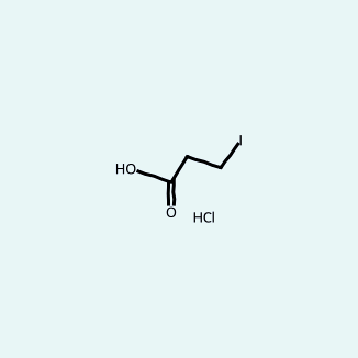 Cl.O=C(O)CCI